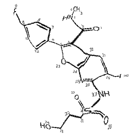 CNC(=O)c1c(-c2ccc(F)cc2)oc2nc(NS(=O)(=O)CCCO)c(I)cc12